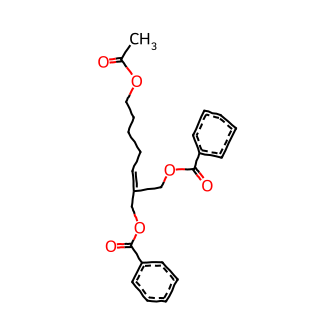 CC(=O)OCCCCC=C(COC(=O)c1ccccc1)COC(=O)c1ccccc1